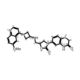 COc1ccc2nccc(N3CC(NCC4CN(c5ccc6c(c5)NC(=O)CS6)C(=O)O4)C3)c2c1